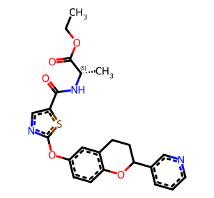 CCOC(=O)[C@H](C)NC(=O)c1cnc(Oc2ccc3c(c2)CCC(c2cccnc2)O3)s1